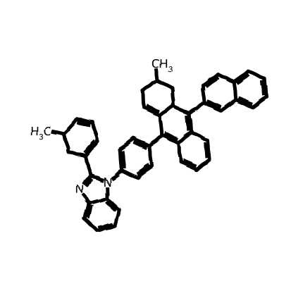 CC1C=CC=C(c2nc3ccccc3n2-c2ccc(C3=c4ccccc4=C(c4ccc5ccccc5c4)C4CC(C)CC=C34)cc2)C1